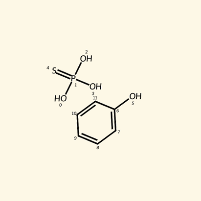 OP(O)(O)=S.Oc1ccccc1